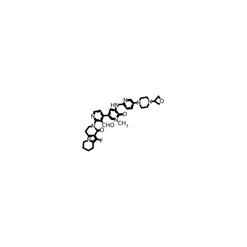 Cn1cc(-c2ccnc(N3CCc4c(c(F)c5n4CCCC5)C3=O)c2C=O)cc(Nc2ccc(N3CCN(C4COC4)CC3)cn2)c1=O